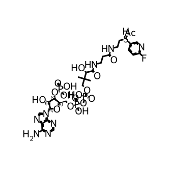 CC(=O)[SH](CCNC(=O)CCNC(=O)C(O)C(C)(C)COP(=O)(O)OP(=O)(O)OC[C@H]1O[C@@H](n2cnc3c(N)ncnc32)[C@H](O)[C@@H]1OP(=O)(O)O)c1ccc(F)nc1